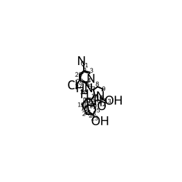 N#Cc1cnc(NC2CCN(C(=O)O)C2C2[C@@H]3CC4C[C@H]2CC(O)(C4)C3)c(Cl)c1